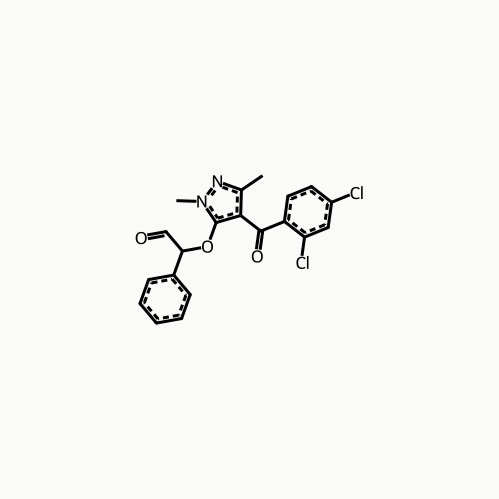 Cc1nn(C)c(OC(C=O)c2ccccc2)c1C(=O)c1ccc(Cl)cc1Cl